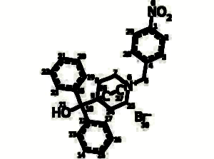 O=[N+]([O-])c1ccc(C[N+]23CCC(C(O)(c4ccccc4)c4ccccc4)(CC2)CC3)cc1.[Br-]